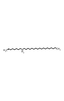 C=CCCCCCC[SiH2]CCCCCCCCCCCCCCCCCC